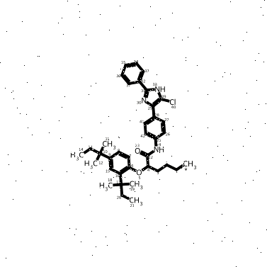 CCCCC(Oc1ccc(C(C)(C)CC)cc1C(C)(C)CC)C(=O)Nc1ccc(-c2nc(-c3ccccc3)[nH]c2Cl)cc1